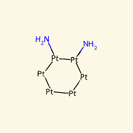 [NH2][Pt]1[Pt][Pt][Pt][Pt][Pt]1[NH2]